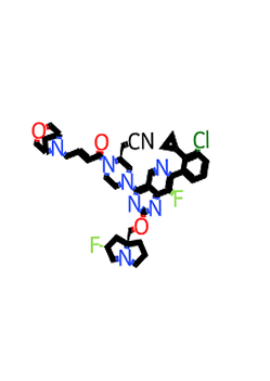 N#CC[C@H]1CN(c2nc(OC[C@@]34CCCN3C[C@H](F)C4)nc3c(F)c(-c4cccc(Cl)c4C4CC4)ncc23)CCN1C(=O)/C=C/CN1C2COCC1C2